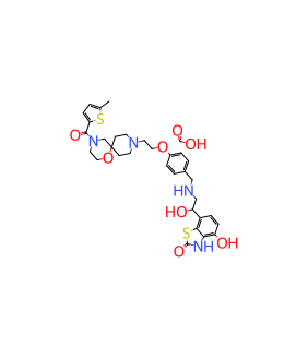 Cc1ccc(C(=O)N2CCOC3(CCN(CCOc4ccc(CNCC(O)c5ccc(O)c6[nH]c(=O)sc56)cc4)CC3)C2)s1.O=CO